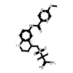 COc1cnc(C(=O)Nc2ccc3c(c2)C(CS(=O)(=O)C(C)(C)C(=N)N)CCO3)cn1